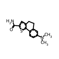 CN(C)c1ccc2c(c1)CCc1cc(C(N)=O)sc1-2